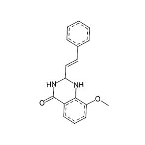 COc1cccc2c1NC(C=Cc1ccccc1)NC2=O